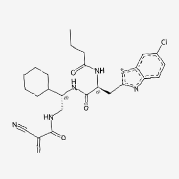 C=C(C#N)C(=O)NC[C@@H](NC(=O)[C@H](Cc1nc2ccc(Cl)cc2s1)NC(=O)CCC)C1CCCCC1